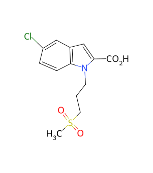 CS(=O)(=O)CCCn1c(C(=O)O)cc2cc(Cl)ccc21